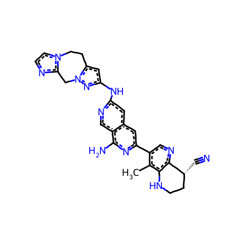 Cc1c(-c2cc3cc(Nc4cc5n(n4)Cc4nccn4CC5)ncc3c(N)n2)cnc2c1NCC[C@H]2C#N